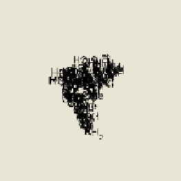 COc1cc([C@@H]2c3cc4c(cc3C(O[C@@H]3O[C@@H]5CO[C@@H](C)O[C@H]5[C@H](O)[C@H]3O)[C@H]3COC(=O)[C@H]23)OCO4)cc(OC)c1O.C[C@@H]1C[C@H]2[C@@H]3CCC4=CC(=O)C=C[C@]4(C)[C@@]3(F)[C@@H](O)C[C@]2(C)[C@@]1(O)C(=O)CO.NC(Cc1ccc(N(CCCl)CCCl)cc1)C(=O)O.Nc1ccn([C@@H]2O[C@H](CO)[C@@H](O)[C@@H]2O)c(=O)n1.O=NN(CCCl)C(=O)NCCCl